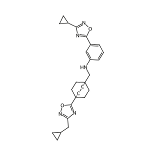 c1cc(NCC23CCC(c4nc(CC5CC5)no4)(CC2)CC3)cc(-c2nc(C3CC3)no2)c1